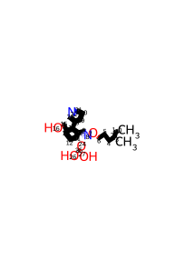 CCC(C)CCCO/N=C/c1cccc(CO)c1-c1cccnc1.O=C(O)O